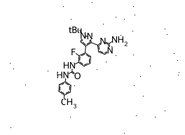 Cc1ccc(NC(=O)Nc2cccc(-c3cn(C(C)(C)C)nc3-c3ccnc(N)n3)c2F)cc1